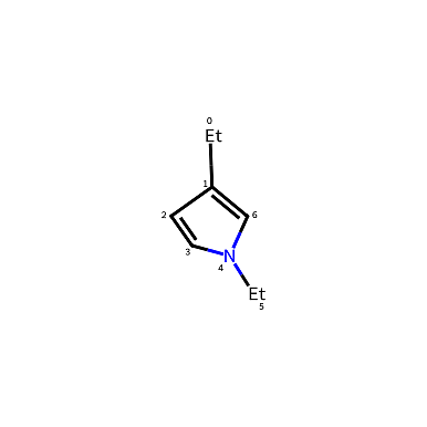 CCc1ccn(CC)c1